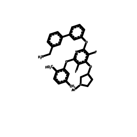 CC(=O)N1CCC(Oc2c(F)c(Oc3cccc(-c4cccc(CN)c4)c3)nc(Oc3cc(C)ccc3C(=O)O)c2F)C1